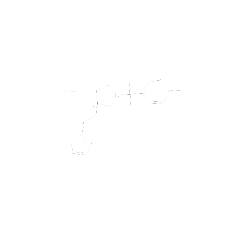 CCOC[C@]1(CCc2ccc(C)s2)CCN(C(C)(C)c2ccc(C)nc2)C1